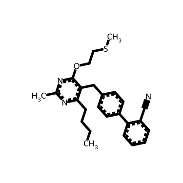 CCCCc1nc(C)nc(OCCSC)c1Cc1ccc(-c2ccccc2C#N)cc1